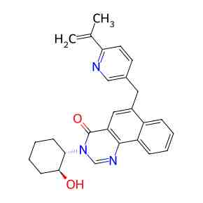 C=C(C)c1ccc(Cc2cc3c(=O)n([C@H]4CCCC[C@@H]4O)cnc3c3ccccc23)cn1